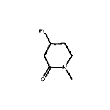 CC(C)C1CCN(C)C(=O)C1